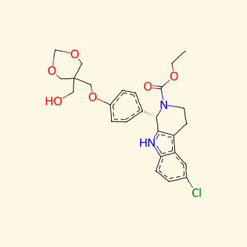 CCOC(=O)N1CCc2c([nH]c3ccc(Cl)cc23)[C@@H]1c1ccc(OCC2(CO)COCOC2)cc1